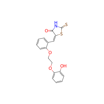 O=C1NC(=S)SC1=Cc1ccccc1OCCOc1ccccc1O